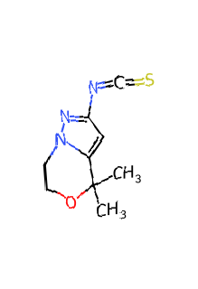 CC1(C)OCCn2nc(N=C=S)cc21